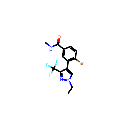 CCn1cc(-c2cc(C(=O)NC)ccc2Br)c(C(F)(F)F)n1